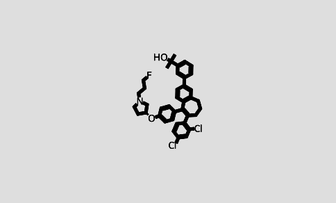 CC(C)(O)c1cccc(-c2ccc3c(c2)CCCC(c2ccc(Cl)cc2Cl)=C3c2ccc(O[C@H]3CCN(CCCF)C3)cc2)c1